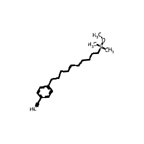 C#Cc1ccc(CCCCCCCCCC[Si](C)(C)OC)cc1